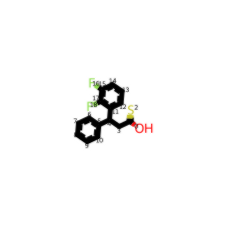 OC(=S)CC(c1ccccc1)c1cccc(F)c1F